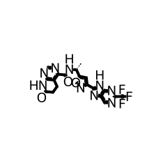 C[C@@H](NC(=O)c1ncnc2c1CCC(=O)N2)c1cc(-c2nc3cnc(C(F)(F)F)nc3[nH]2)no1